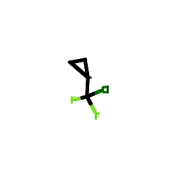 FC(F)(Cl)[C]1CC1